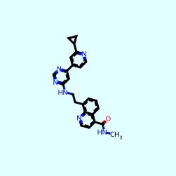 CNC(=O)c1ccnc2c(CCNc3cc(-c4ccnc(C5CC5)c4)ncn3)cccc12